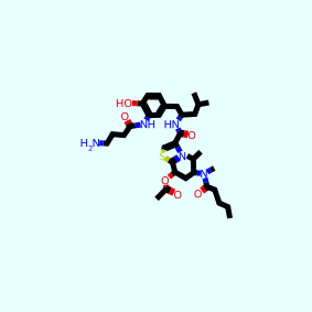 CCCCC(=O)N(C)C(CC(OC(C)=O)c1nc(C(=O)NC(Cc2ccc(O)c(NC(=O)CCCN)c2)CC(C)C)cs1)C(C)C